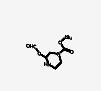 CC(C)(C)OC(=O)N1CCNC(OC=O)C1